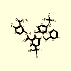 NC(=O)c1cc(NC(=O)c2c(F)c(C(F)(F)F)cc(OCc3ccccc3)c2Oc2ccc(OC(F)(F)F)cc2)ccc1F